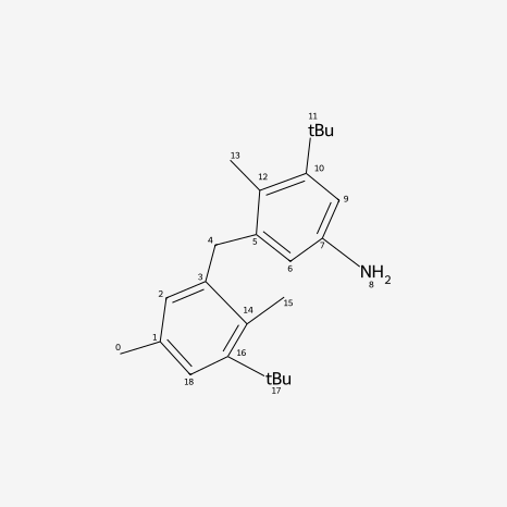 Cc1cc(Cc2cc(N)cc(C(C)(C)C)c2C)c(C)c(C(C)(C)C)c1